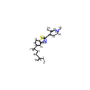 CC[C@@H](C)CC[C@@H](C)c1ccc2sc(C3CCN(C)C[C@@H]3C)nc2c1